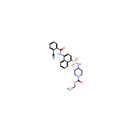 CCOC(=O)N1CCC(NS(=O)(=O)c2ccc(NC(=O)c3ccccc3C#N)c3ccccc23)CC1